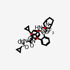 O=C(NS(=O)(=O)C1CC1)c1ccc(NC(=O)N2C3CCC2CC(OCc2c(-c4ccccc4OC(F)(F)F)noc2C2CC2)C3)cc1